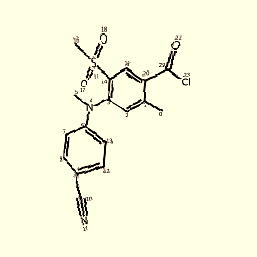 Cc1cc(N(C)c2ccc(C#N)cc2)c(S(C)(=O)=O)cc1C(=O)Cl